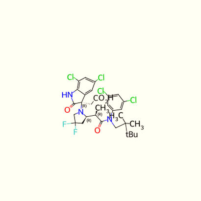 C[C@@H](C(=O)N(CC(C)(C)C(C)(C)C)c1cc(Cl)cc(Cl)c1)[C@H]1CC(F)(F)CN1[C@@]1(CC(=O)O)C(=O)Nc2c(Cl)cc(Cl)cc21